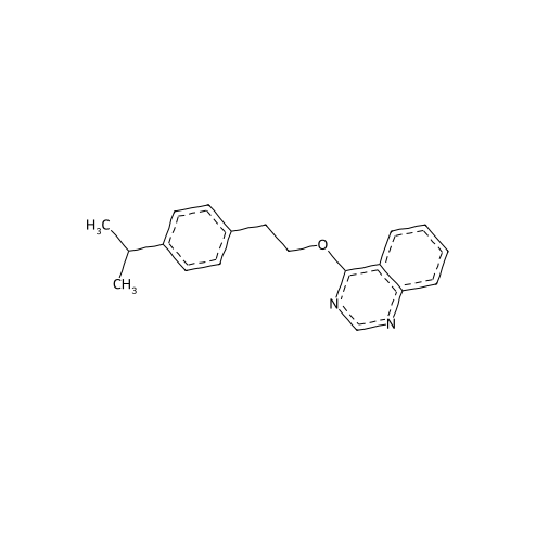 CC(C)c1ccc(CCOc2ncnc3ccccc23)cc1